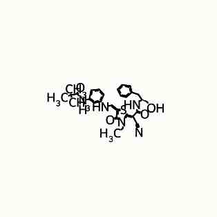 CCn1c(=C(C#N)C(=O)N[C@H](CO)Cc2ccccc2)sc(=CNc2cccc(NC(=O)C(C)(C)C)c2)c1=O